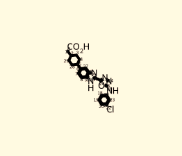 O=C(O)CC1CCC(c2ccc3[nH]c(-c4nnc(Nc5cccc(Cl)c5)o4)nc3c2)CC1